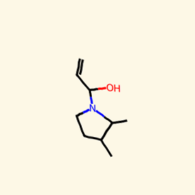 C=CC(O)N1CCC(C)C1C